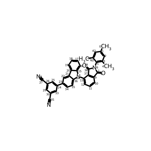 Cc1cc(C)c(N2C(=O)c3cccc(-n4c5ccccc5c5cc(-c6cc(C#N)cc(C#N)c6)ccc54)c3C2=O)c(C)c1